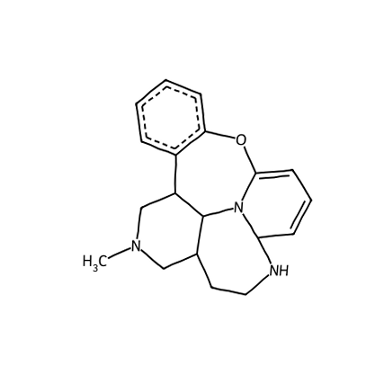 CN1CC2CCNC3C=CC=C4Oc5ccccc5C(C1)C2N43